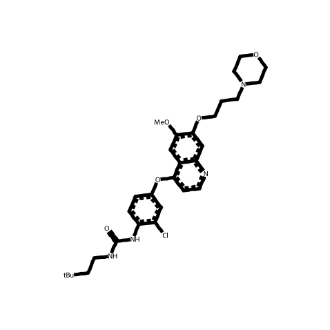 COc1cc2c(Oc3ccc(NC(=O)NCCC(C)(C)C)c(Cl)c3)ccnc2cc1OCCCN1CCOCC1